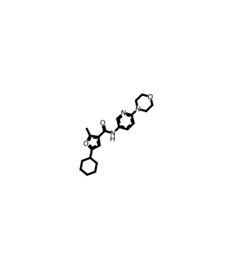 Cc1oc(C2CCCCC2)cc1C(=O)Nc1ccc(N2CCOCC2)nc1